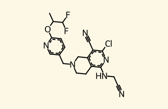 CC(Oc1ccc(CN2CCc3c(NCC#N)nc(Cl)c(C#N)c3C2)cn1)C(F)F